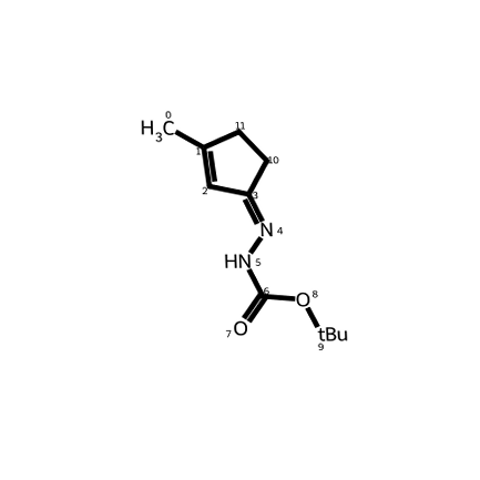 CC1=CC(=NNC(=O)OC(C)(C)C)CC1